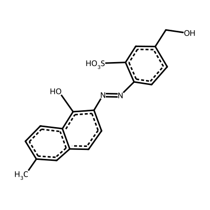 Cc1ccc2c(O)c(N=Nc3ccc(CO)cc3S(=O)(=O)O)ccc2c1